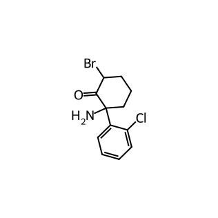 NC1(c2ccccc2Cl)CCCC(Br)C1=O